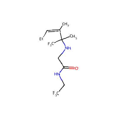 CC/C=C(/C)C(C)(NCC(=O)NCC(F)(F)F)C(F)(F)F